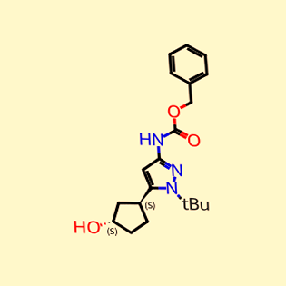 CC(C)(C)n1nc(NC(=O)OCc2ccccc2)cc1[C@H]1CC[C@H](O)C1